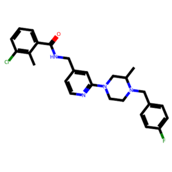 Cc1c(Cl)cccc1C(=O)NCc1ccnc(N2CCN(Cc3ccc(F)cc3)C(C)C2)c1